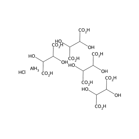 Cl.O=C(O)C(O)C(O)C(=O)O.O=C(O)C(O)C(O)C(=O)O.O=C(O)C(O)C(O)C(=O)O.O=C(O)C(O)C(O)C(=O)O.[AlH3]